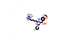 Cc1noc(CCCCC(=O)N[C@H](CCN2CC[C@@H](F)C2)[C@H](O)c2ccc3c(c2)OCCO3)n1